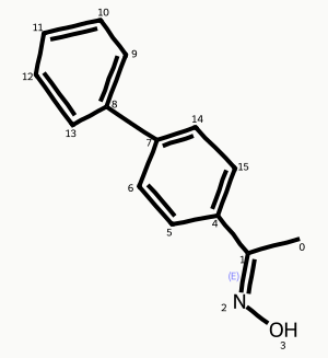 C/C(=N\O)c1ccc(-c2ccccc2)cc1